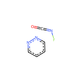 O=C=NF.c1ccnnc1